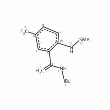 C=C(NC(C)CC)c1cc(C(F)(F)F)ccc1NSC